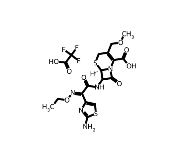 CCO/N=C(/C(=O)NC1C(=O)N2C(C(=O)O)=C(COC)CS[C@H]12)c1csc(N)n1.O=C(O)C(F)(F)F